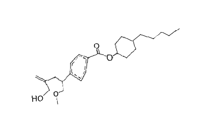 C=C(CO)CC(COC)c1ccc(C(=O)OC2CCC(CCCCC)CC2)cc1